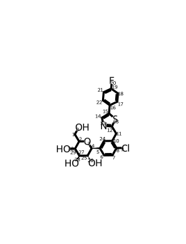 OCC1O[C@@H](c2ccc(Cl)c(Cc3ncc(-c4ccc(F)cc4)s3)c2)[C@H](O)[C@@H](O)C1O